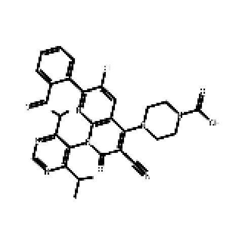 CC(C)c1ncnc(C(C)C)c1-n1c(=O)c(C#N)c(N2CCN(C(=O)O)CC2)c2cc(Cl)c(-c3ccccc3C=O)nc21